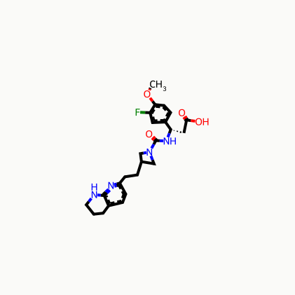 COc1ccc([C@H](CC(=O)O)NC(=O)N2CC(CCc3ccc4c(n3)NCCC4)C2)cc1F